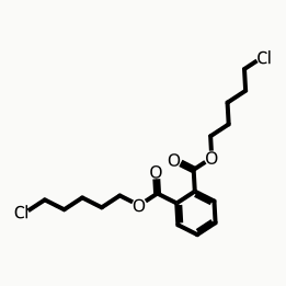 O=C(OCCCCCCl)c1ccccc1C(=O)OCCCCCCl